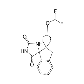 O=C1NC(=O)C2(N1)c1ccccc1CC21CCC(OC(F)F)CC1